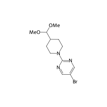 COC(OC)C1CCN(c2ncc(Br)cn2)CC1